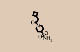 NS(=O)(=O)C1CCN(C(=O)CC2CCC2)CC1